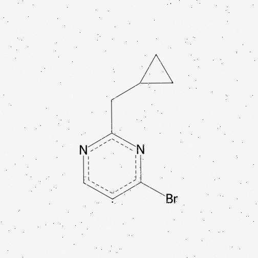 Brc1[c]cnc(CC2CC2)n1